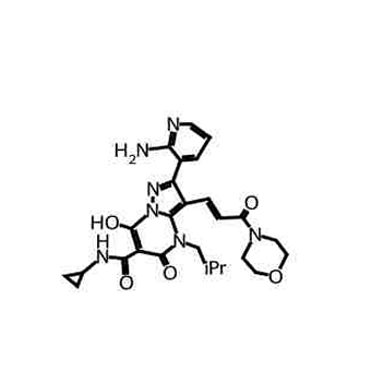 CC(C)Cn1c(=O)c(C(=O)NC2CC2)c(O)n2nc(-c3cccnc3N)c(C=CC(=O)N3CCOCC3)c12